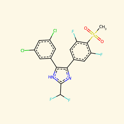 CS(=O)(=O)c1c(F)cc(-c2nc(C(F)F)[nH]c2-c2cc(Cl)cc(Cl)c2)cc1F